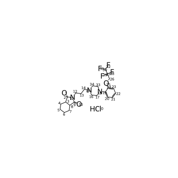 Cl.O=C1C2CCCCC2C(=O)N1CCCN1CCN(c2ccccc2OCC(F)(F)C(F)F)CC1